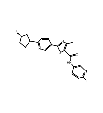 O=C(Nc1ccc(F)nc1)c1sc(-c2ccc(N3CC[C@@H](F)C3)nc2)nc1F